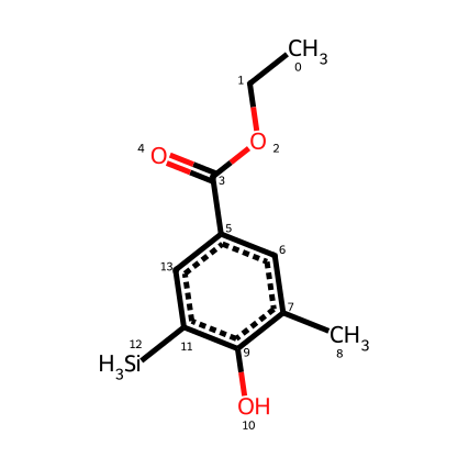 CCOC(=O)c1cc(C)c(O)c([SiH3])c1